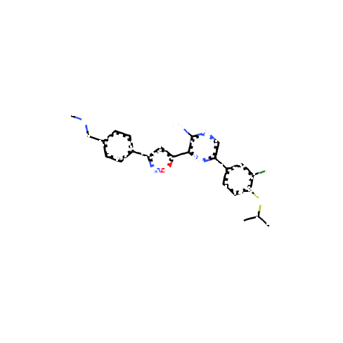 CNCc1ccc(-c2cc(-c3nc(-c4ccc(SC(C)C)c(Cl)c4)cnc3N)on2)cc1